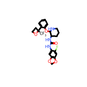 O=C(Nc1cc2c(cc1F)OCO2)NC1CCCNC1Oc1ccccc1C1(C(F)(F)F)CCO1